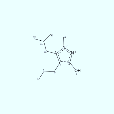 CCCc1c(O)nn(C)c1CC(C)C